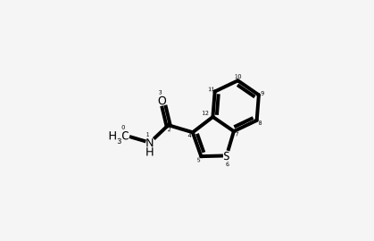 CNC(=O)c1csc2ccccc12